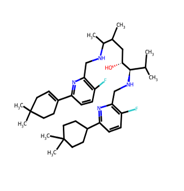 CC(C[C@@H](O)[C@H](NCc1nc(C2CCC(C)(C)CC2)ccc1F)C(C)C)C(C)NCc1nc(C2=CCC(C)(C)CC2)ccc1F